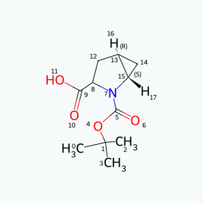 CC(C)(C)OC(=O)N1C(C(=O)O)C[C@H]2C[C@@H]21